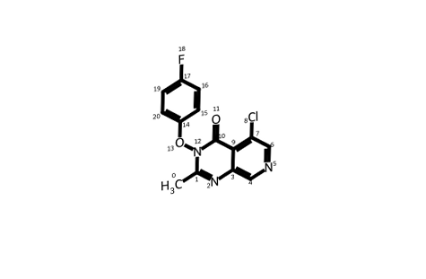 Cc1nc2cncc(Cl)c2c(=O)n1Oc1ccc(F)cc1